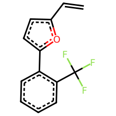 C=Cc1ccc(-c2ccccc2C(F)(F)F)o1